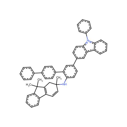 CC1(Nc2ccc(-c3ccc4c(c3)c3ccccc3n4-c3ccccc3)cc2-c2ccc(-c3ccccc3)cc2)C=CC2=C(C1)C(C)(C)c1ccccc12